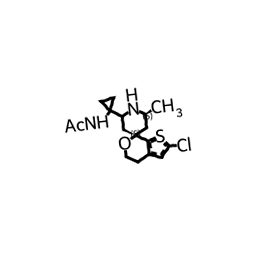 CC(=O)NC1(C2C[C@]3(C[C@H](C)N2)OCCc2cc(Cl)sc23)CC1